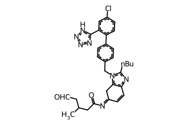 CCCCc1nc2c(n1Cc1ccc(-c3ccc(Cl)cc3-c3nnn[nH]3)cc1)CC(=NC(=O)CC(C)CC=O)C=C2